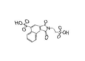 O=C1c2cc(S(=O)(=O)O)c3ccccc3c2C(=O)N1CCS(=O)(=O)O